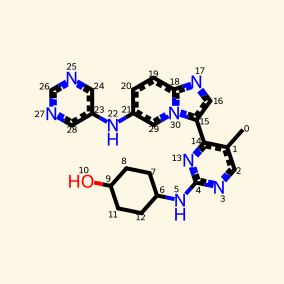 Cc1cnc(NC2CCC(O)CC2)nc1-c1cnc2ccc(Nc3cncnc3)cn12